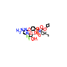 CC(C(=O)OC1CCC1)N(Oc1ccccc1)[PH](=O)OC[C@H]1O[C@@H](n2ccc(N)nc2=O)C(F)(F)[C@@H]1O